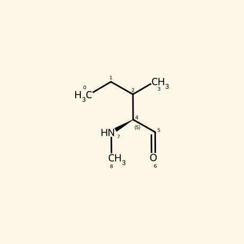 CCC(C)[C@@H](C=O)NC